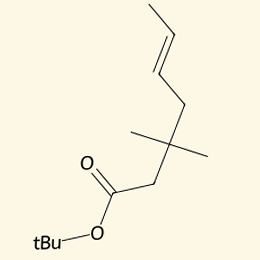 C/C=C/CC(C)(C)CC(=O)OC(C)(C)C